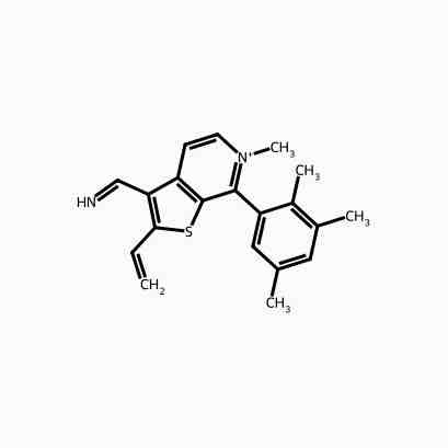 C=Cc1sc2c(-c3cc(C)cc(C)c3C)[n+](C)ccc2c1C=N